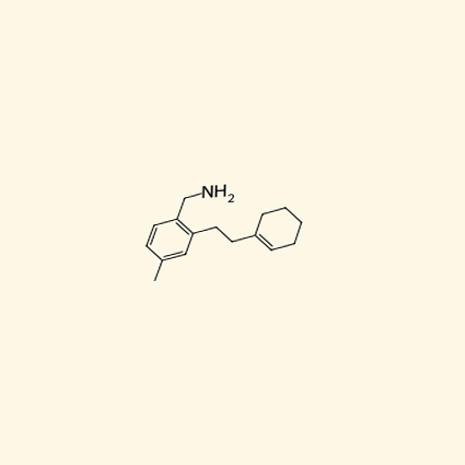 Cc1ccc(CN)c(CCC2=CCCCC2)c1